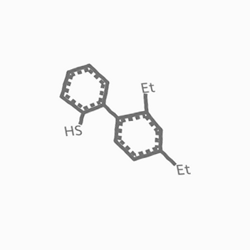 CCc1ccc(-c2ccccc2S)c(CC)c1